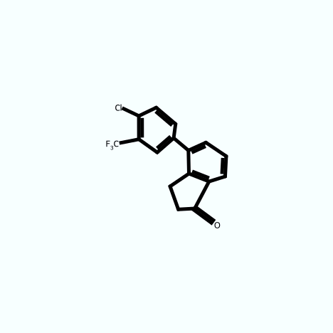 O=C1CCc2c1cccc2-c1ccc(Cl)c(C(F)(F)F)c1